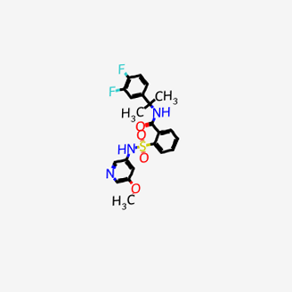 COc1cncc(NS(=O)(=O)c2ccccc2C(=O)NC(C)(C)c2ccc(F)c(F)c2)c1